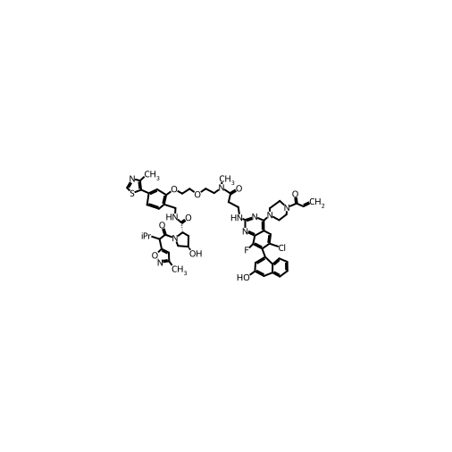 C=CC(=O)N1CCN(c2nc(NCCC(=O)N(C)CCOCCOc3cc(-c4scnc4C)ccc3CNC(=O)[C@@H]3C[C@@H](O)CN3C(=O)C(c3cc(C)no3)C(C)C)nc3c(F)c(-c4cc(O)cc5ccccc45)c(Cl)cc23)CC1